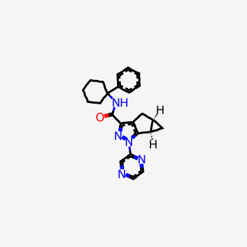 O=C(NC1(c2ccccc2)CCCCC1)c1nn(-c2cnccn2)c2c1C[C@H]1C[C@@H]21